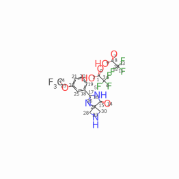 O=C(O)C(F)(F)F.O=C(O)C(F)(F)F.O=C1NC(c2cccc(OC(F)(F)F)c2)=NC12CNC2